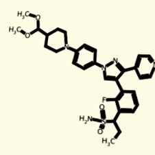 CCC(c1cccc(-c2cn(-c3ccc(N4CCC(C(OC)OC)CC4)cc3)nc2-c2ccncc2)c1F)S(N)(=O)=O